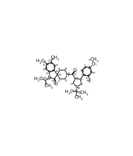 COc1ccc(C2CN(C(C)(C)C)CC2C(=O)N2CCC3(CC2)C(=O)N(C(C)C)c2cc(C)c(C)cc23)c(F)c1